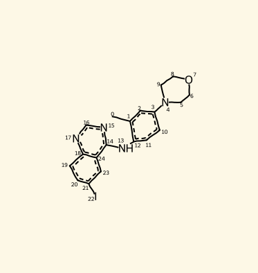 Cc1cc(N2CCOCC2)ccc1Nc1ncnc2ccc(I)cc12